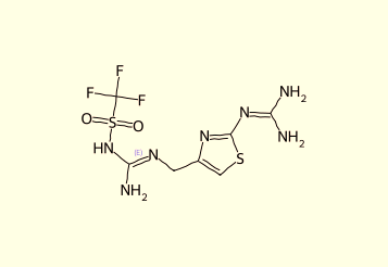 NC(N)=Nc1nc(C/N=C(\N)NS(=O)(=O)C(F)(F)F)cs1